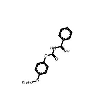 CCCCCCOc1ccc(OC(=O)NC(=N)c2cc[c]cc2)cc1